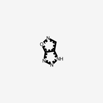 c1noc2nn[nH]c12